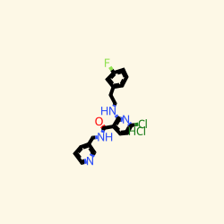 Cl.O=C(NCc1cccnc1)c1ccc(Cl)nc1NCCc1cccc(F)c1